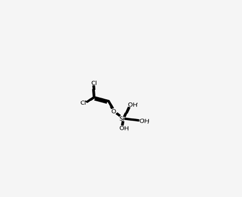 O[Si](O)(O)OC=C(Cl)Cl